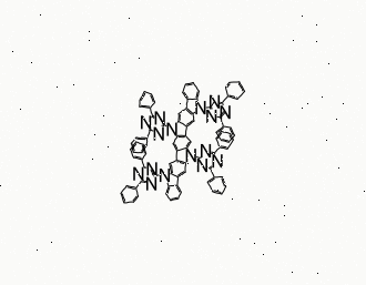 c1ccc(-c2nc(-c3ccccc3)nc(-n3c4ccccc4c4cc5c(cc43)c3cc4c(cc3n5-c3nc(-c5ccccc5)nc(-c5ccccc5)n3)c3cc5c(cc3n4-c3nc(-c4ccccc4)nc(-c4ccccc4)n3)c3ccccc3n5-c3nc(-c4ccccc4)nc(-c4ccccc4)n3)n2)cc1